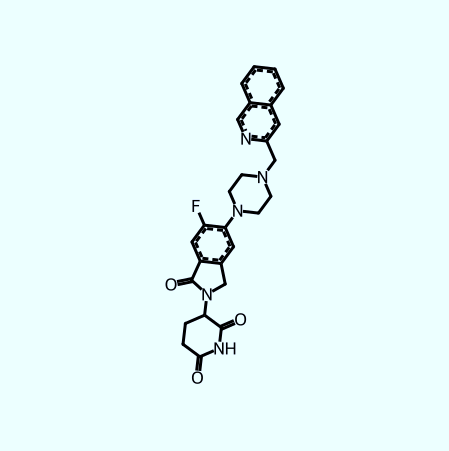 O=C1CCC(N2Cc3cc(N4CCN(Cc5cc6ccccc6cn5)CC4)c(F)cc3C2=O)C(=O)N1